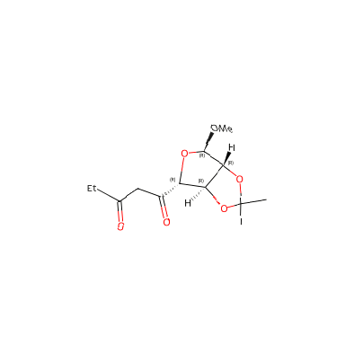 CCC(=O)CC(=O)[C@@H]1O[C@@H](OC)[C@@H]2OC(C)(C)O[C@H]21